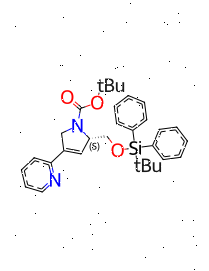 CC(C)(C)OC(=O)N1CC(c2ccccn2)=C[C@H]1CO[Si](c1ccccc1)(c1ccccc1)C(C)(C)C